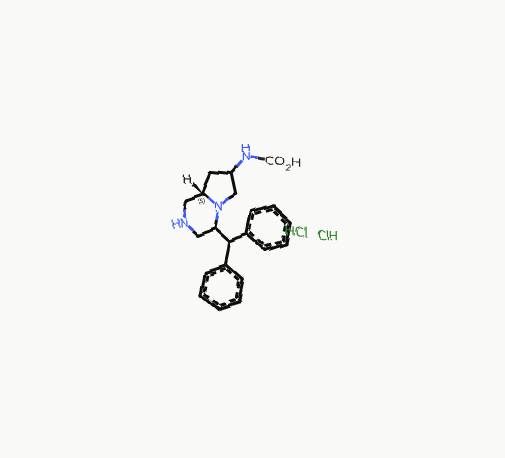 Cl.Cl.O=C(O)NC1C[C@H]2CNCC(C(c3ccccc3)c3ccccc3)N2C1